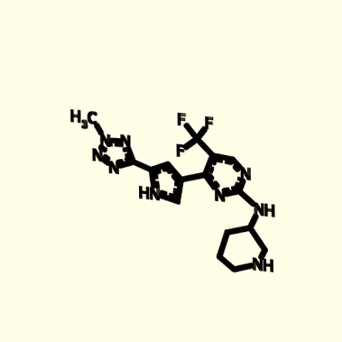 Cn1nnc(-c2cc(-c3nc(NC4CCCNC4)ncc3C(F)(F)F)c[nH]2)n1